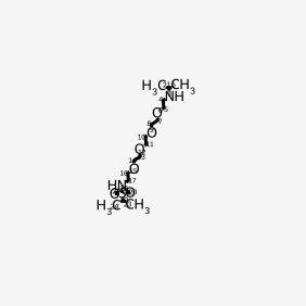 CC(C)NCCOCCOCCOCCOCCNS(=O)(=O)C(C)C